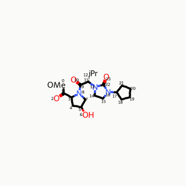 COC(=O)C1CC(O)CN1C(=O)[C@H](C(C)C)N1CCN(C2CCCC2)C1=O